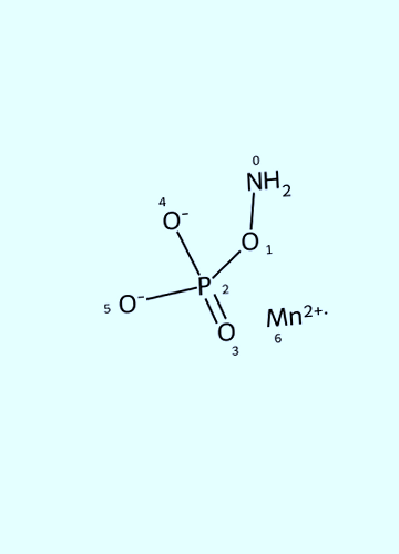 NOP(=O)([O-])[O-].[Mn+2]